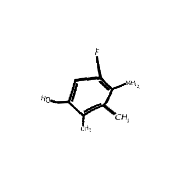 Cc1c(O)cc(F)c(N)c1C